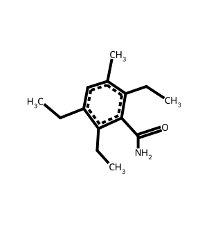 CCc1cc(C)c(CC)c(C(N)=O)c1CC